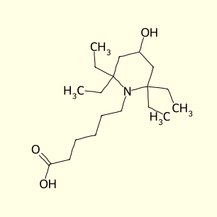 CCC1(CC)CC(O)CC(CC)(CC)N1CCCCCC(=O)O